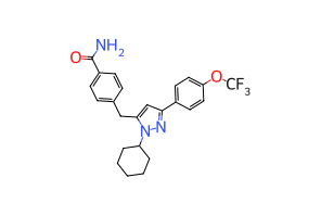 NC(=O)c1ccc(Cc2cc(-c3ccc(OC(F)(F)F)cc3)nn2C2CCCCC2)cc1